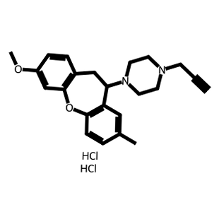 C#CCN1CCN(C2Cc3ccc(OC)cc3Oc3ccc(C)cc32)CC1.Cl.Cl